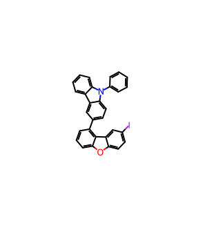 Ic1ccc2oc3cccc(-c4ccc5c(c4)c4ccccc4n5-c4ccccc4)c3c2c1